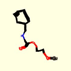 CC(C)(C)OCCOC(=O)NCc1ccccc1